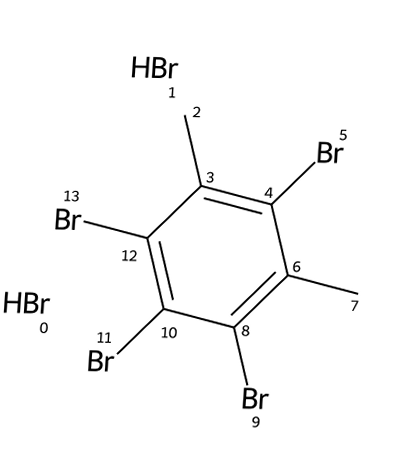 Br.Br.Cc1c(Br)c(C)c(Br)c(Br)c1Br